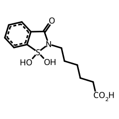 O=C(O)CCCCCN1C(=O)c2ccccc2S1(O)O